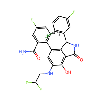 NC(=O)c1cc(F)cc(C(F)(F)F)c1-c1cc(NCC(F)F)c(O)c2c1C(c1cc(F)ccc1Cl)NC2=O